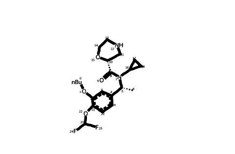 CCCCOc1cc([C@@H](C)N(C(=O)[C@H]2CNCCO2)C2CC2)ccc1OC(F)F